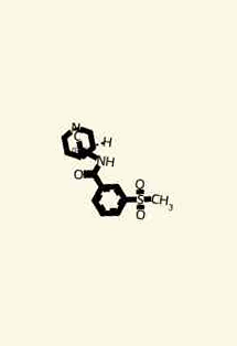 CS(=O)(=O)c1cccc(C(=O)N[C@@H]2CN3CCC2CC3)c1